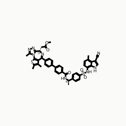 COC(=O)C[C@@H]1N=C(c2ccc(-c3ccc(C(=O)N[C@H](C)c4ccc(S(=O)(=O)Nc5ccc(C)c6c(C#N)c[nH]c56)cc4)cc3)cc2)c2c(sc(C)c2C)-n2c(C)nnc21